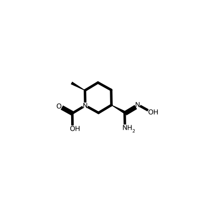 C[C@H]1CC[C@@H](C(N)=NO)CN1C(=O)O